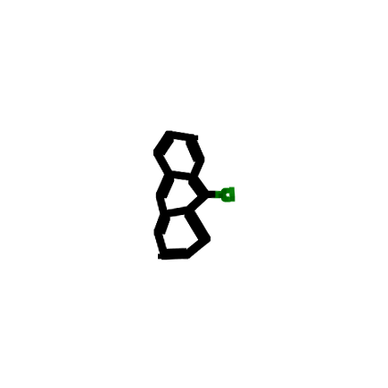 Clc1c2c[c]ccc2cc2c[c]ccc12